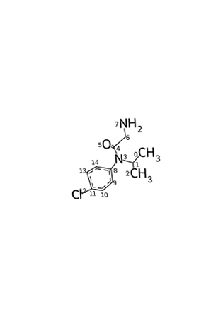 CC(C)N(C(=O)CN)c1ccc(Cl)cc1